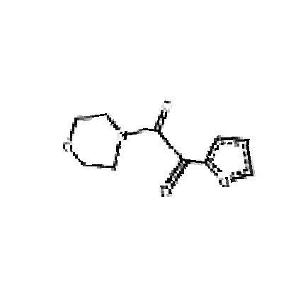 O=C(C(=O)N1CCOCC1)c1ccco1